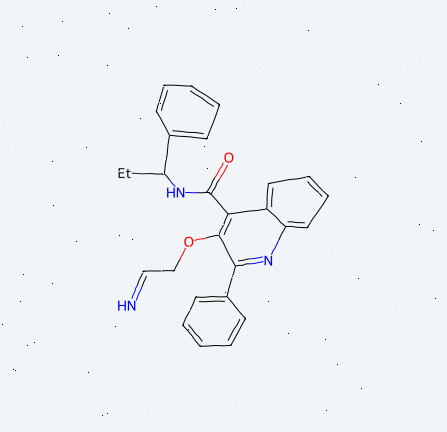 CCC(NC(=O)c1c(OCC=N)c(-c2ccccc2)nc2ccccc12)c1ccccc1